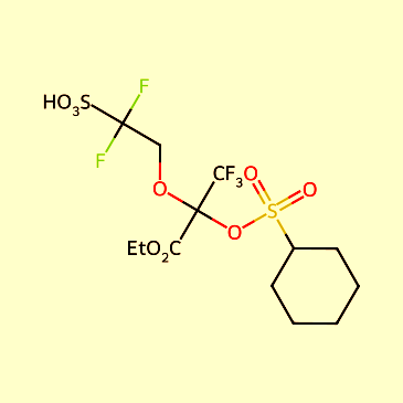 CCOC(=O)C(OCC(F)(F)S(=O)(=O)O)(OS(=O)(=O)C1CCCCC1)C(F)(F)F